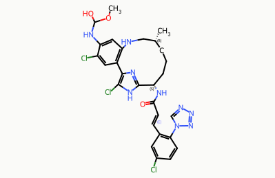 COC(O)Nc1cc2c(cc1Cl)-c1nc([nH]c1Cl)[C@@H](NC(=O)/C=C/c1cc(Cl)ccc1-n1cnnn1)CCC[C@@H](C)CN2